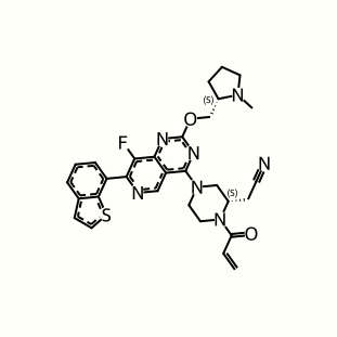 C=CC(=O)N1CCN(c2nc(OC[C@@H]3CCCN3C)nc3c(F)c(-c4cccc5ccsc45)ncc23)C[C@@H]1CC#N